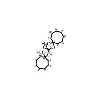 CC1(OC(=O)OC2(C)CCCCCCC2)CCCCCCC1